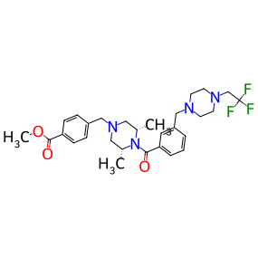 COC(=O)c1ccc(CN2C[C@@H](C)N(C(=O)c3cccc(CN4CCN(CC(F)(F)F)CC4)c3)[C@@H](C)C2)cc1